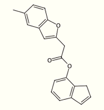 Cc1ccc2oc(CC(=O)Oc3cccc4c3CC=C4)cc2c1